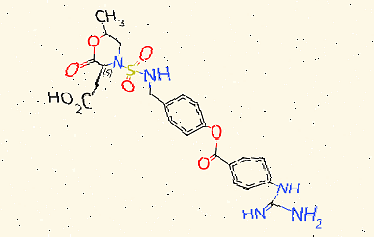 CC1CN(S(=O)(=O)NCc2ccc(OC(=O)c3ccc(NC(=N)N)cc3)cc2)[C@@H](CC(=O)O)C(=O)O1